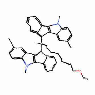 Cc1ccc2c(c1)c1c(n2C)-c2ccccc2C1[Si](C)(CCCCCCOC(C)(C)C)C1c2ccccc2-c2c1c1cc(C)ccc1n2C